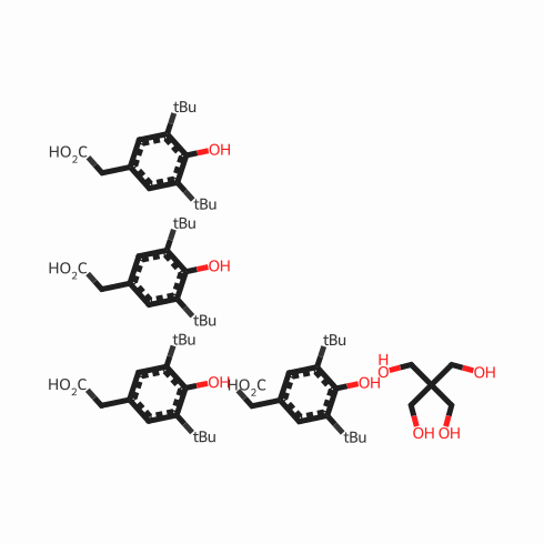 CC(C)(C)c1cc(CC(=O)O)cc(C(C)(C)C)c1O.CC(C)(C)c1cc(CC(=O)O)cc(C(C)(C)C)c1O.CC(C)(C)c1cc(CC(=O)O)cc(C(C)(C)C)c1O.CC(C)(C)c1cc(CC(=O)O)cc(C(C)(C)C)c1O.OCC(CO)(CO)CO